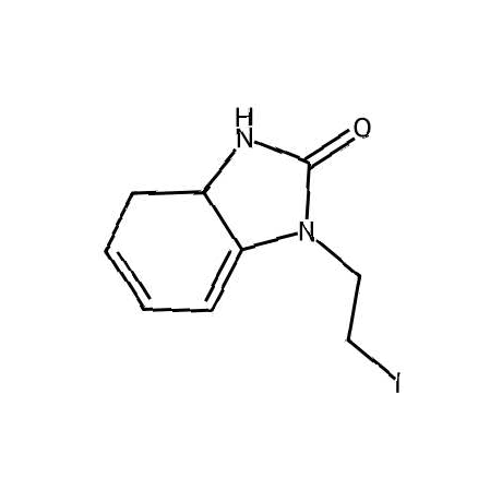 O=C1NC2CC=CC=C2N1CCI